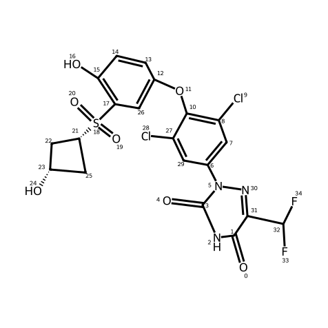 O=c1[nH]c(=O)n(-c2cc(Cl)c(Oc3ccc(O)c(S(=O)(=O)[C@H]4C[C@@H](O)C4)c3)c(Cl)c2)nc1C(F)F